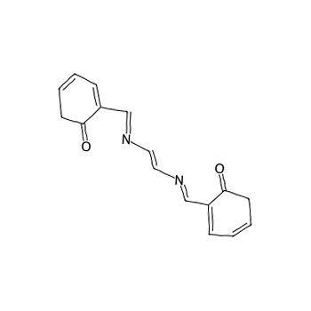 O=C1CC=CC=C1C=NC=CN=CC1=CC=CCC1=O